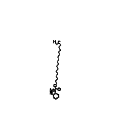 CCCCCCCCCCCCCCCCCCOC(=O)n1nnc2ccccc21